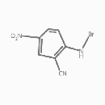 N#Cc1cc([N+](=O)[O-])ccc1NBr